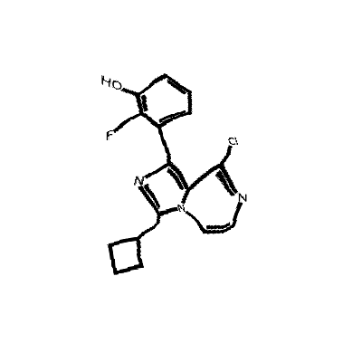 Oc1cccc(-c2nc(C3CCC3)n3ccnc(Cl)c23)c1F